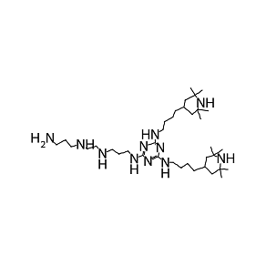 CC1(C)CC(CCCCNc2nc(NCCCCC3CC(C)(C)NC(C)(C)C3)nc(NCCCNCCNCCCN)n2)CC(C)(C)N1